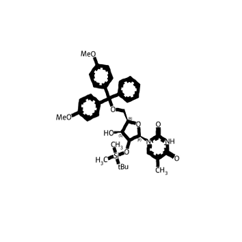 COc1ccc(C(OC[C@H]2O[C@@H](n3cc(C)c(=O)[nH]c3=O)C(O[Si](C)(C)C(C)(C)C)[C@H]2O)(c2ccccc2)c2ccc(OC)cc2)cc1